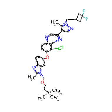 Cc1c(-c2cnc3ccc(Oc4ccc5nc(C)n(COCC[Si](C)(C)C)c5c4)c(Cl)c3n2)cnn1CC1CC(F)(F)C1